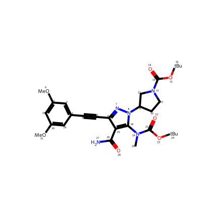 COc1cc(C#Cc2nn(C3CCN(C(=O)OC(C)(C)C)C3)c(N(C)C(=O)OC(C)(C)C)c2C(N)=O)cc(OC)c1